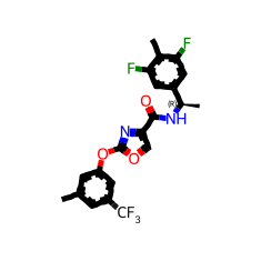 Cc1cc(Oc2nc(C(=O)N[C@H](C)c3cc(F)c(C)c(F)c3)co2)cc(C(F)(F)F)c1